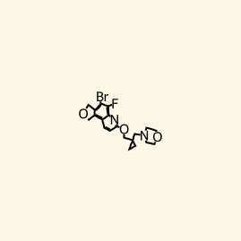 Fc1c(Br)c2c(c3ccc(OCC4(CN5CCOCC5)CC4)nc13)COC2